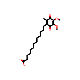 COC1=C(OC)C(=O)C(CCCCCCCCCCCCC(=O)O)=C(C)C1=O